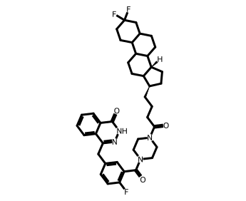 O=C(CCC[C@@H]1CC[C@H]2C3CCC4CC(F)(F)CCC4C3CCC12)N1CCN(C(=O)c2cc(Cc3n[nH]c(=O)c4ccccc34)ccc2F)CC1